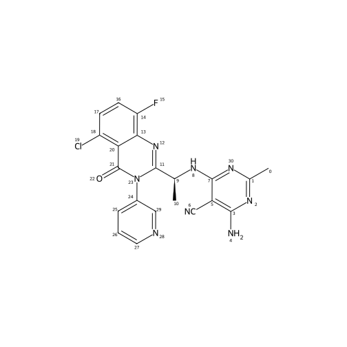 Cc1nc(N)c(C#N)c(N[C@@H](C)c2nc3c(F)ccc(Cl)c3c(=O)n2-c2cccnc2)n1